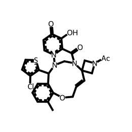 CC(=O)N1CC2(/C=C/COc3c(C)cccc3C(c3sccc3Cl)N3CN2C(=O)c2c(O)c(=O)ccn23)C1